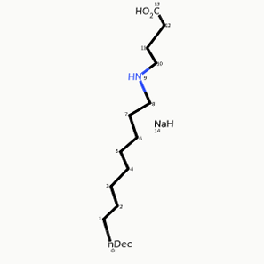 CCCCCCCCCCCCCCCCCCNCCCC(=O)O.[NaH]